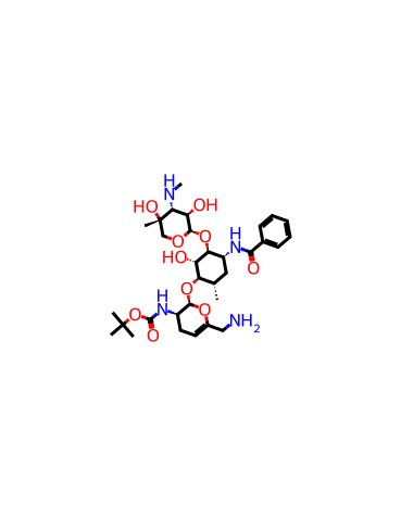 CN[C@@H]1[C@@H](O)[C@@H](O[C@@H]2[C@@H](O)[C@H](O[C@H]3OC(CN)=CC[C@H]3NC(=O)OC(C)(C)C)[C@@H](C)C[C@H]2NC(=O)c2ccccc2)OC[C@]1(C)O